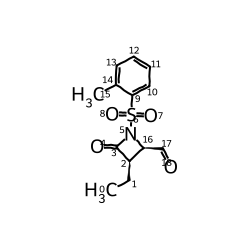 CC[C@H]1C(=O)N(S(=O)(=O)c2ccccc2C)[C@H]1C=O